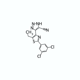 CCc1sc(-c2cc(Cl)cc(Cl)c2)nc1-c1nn[nH]c1C#N